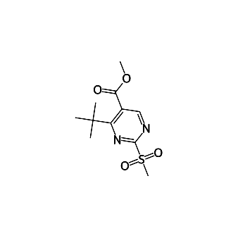 COC(=O)c1cnc(S(C)(=O)=O)nc1C(C)(C)C